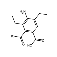 CCc1cc(C(=O)O)c(C(=O)O)c(CC)c1N